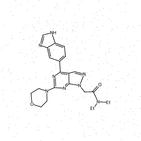 CCN(CC)C(=O)Cn1ncc2c(-c3ccc4[nH]cnc4c3)nc(N3CCOCC3)nc21